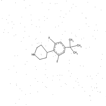 CC(C)(C)c1cc(F)c(C2CCNCC2)c(F)c1